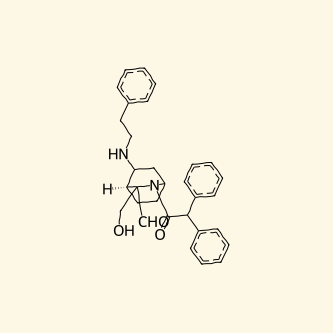 O=CC1(CO)[C@H]2CCC(CC2NCCc2ccccc2)N1C(=O)C(c1ccccc1)c1ccccc1